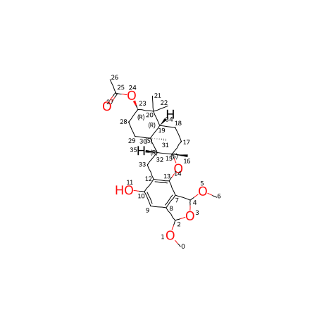 COC1OC(OC)c2c1cc(O)c1c2O[C@@]2(C)CC[C@H]3C(C)(C)[C@H](OC(C)=O)CC[C@]3(C)[C@H]2C1